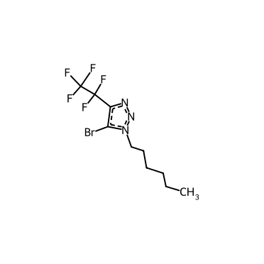 CCCCCCn1nnc(C(F)(F)C(F)(F)F)c1Br